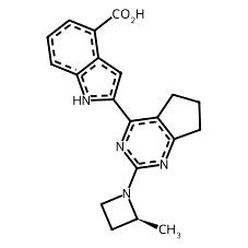 C[C@H]1CCN1c1nc2c(c(-c3cc4c(C(=O)O)cccc4[nH]3)n1)CCC2